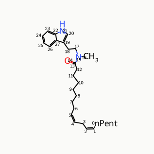 CCCCC/C=C\C/C=C\CCCCCCCC(=O)N(C)CCc1c[nH]c2ccccc12